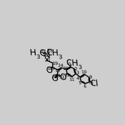 Cc1cc(-c2ccc(Cl)cc2)cc2oc(=O)c(C(=O)CCN(C)C)cc12